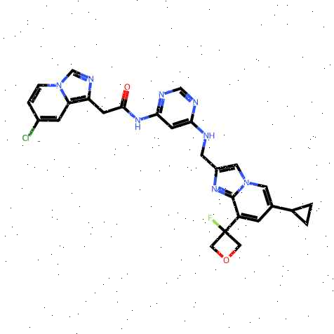 O=C(Cc1ncn2ccc(Cl)cc12)Nc1cc(NCc2cn3cc(C4CC4)cc(C4(F)COC4)c3n2)ncn1